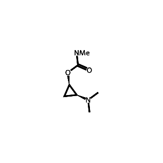 CNC(=O)O[C@@H]1C[C@@H]1N(C)C